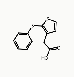 O=C(O)Cc1ccsc1Sc1ccccc1